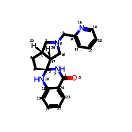 O=C1N[C@]2(CC[C@@H]3CN(Cc4ccccn4)C[C@@H]32)Nc2ccccc21